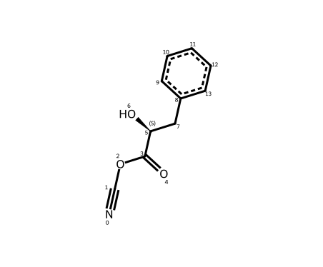 N#COC(=O)[C@@H](O)Cc1ccccc1